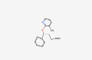 CNCC[C@@H](Oc1ncccc1C#N)c1ccccc1